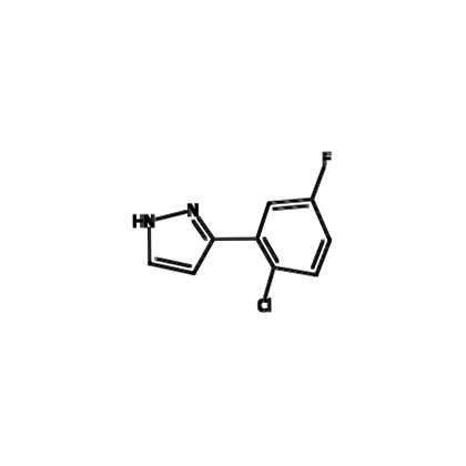 Fc1ccc(Cl)c(-c2cc[nH]n2)c1